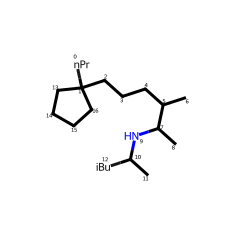 CCCC1(CCCC(C)C(C)NC(C)C(C)CC)CCCC1